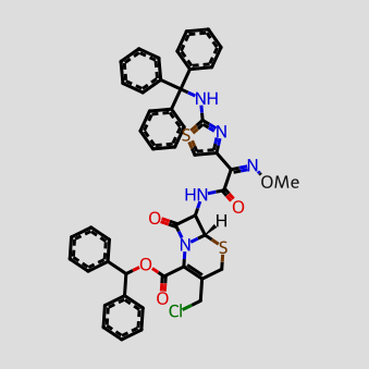 CO/N=C(\C(=O)NC1C(=O)N2C(C(=O)OC(c3ccccc3)c3ccccc3)=C(CCl)CS[C@@H]12)c1csc(NC(c2ccccc2)(c2ccccc2)c2ccccc2)n1